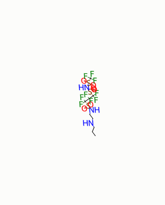 CCCNCCNS(=O)(=O)C(F)(F)C(F)(F)C(F)(F)S(=O)(=O)NS(=O)(=O)C(F)(F)F